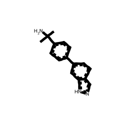 CC(C)(N)c1ccc(-c2ccc3cn[nH]c3c2)cc1